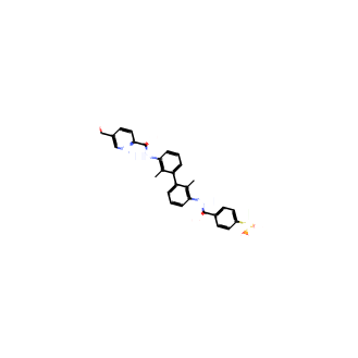 Cc1c(NC(=O)c2ccc(S(=O)(=O)F)cc2)cccc1-c1cccc(NC(=O)c2ccc(CO)cn2)c1C